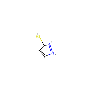 SC1C=CN=N1